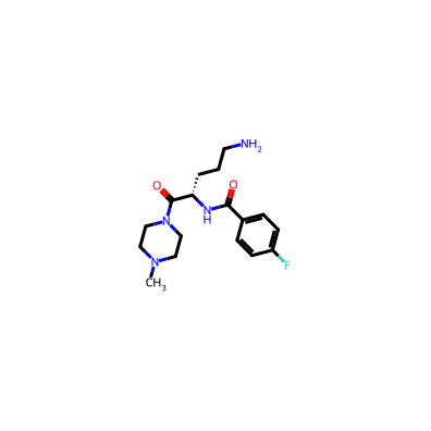 CN1CCN(C(=O)[C@H](CCCN)NC(=O)c2ccc(F)cc2)CC1